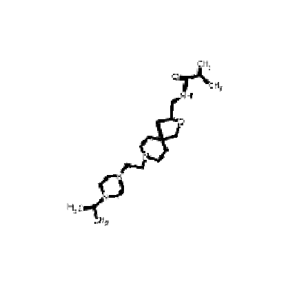 CC(C)C(=O)NCC1CC2(CCN(CCN3CCN(C(C)C)CC3)CC2)CO1